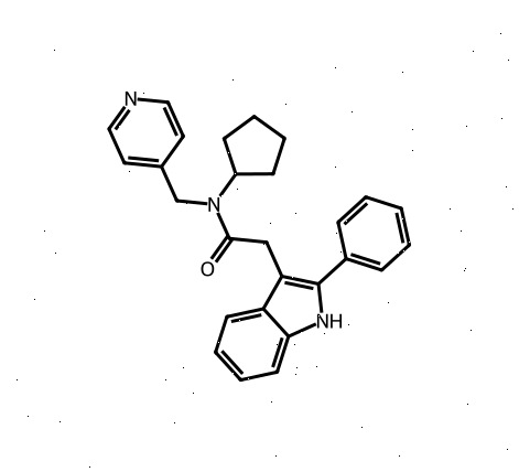 O=C(Cc1c(-c2ccccc2)[nH]c2ccccc12)N(Cc1ccncc1)C1CCCC1